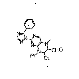 CCC1C(C=O)N(C)c2cnc(-n3ncnc3-c3ccccc3)nc2N1C(C)C